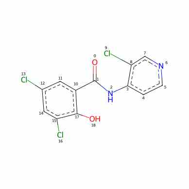 O=C(Nc1ccncc1Cl)c1cc(Cl)cc(Cl)c1O